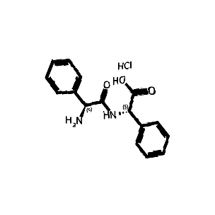 Cl.N[C@H](C(=O)N[C@H](C(=O)O)c1ccccc1)c1ccccc1